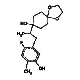 Cc1cc(F)c(CC(C)C2(O)CCC3(CC2)OCCO3)cc1O